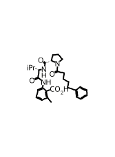 Cc1cccc(NC(=O)[C@@H](NC(=O)[C@@H]2CCCN2C(=O)CCCCc2ccccc2)C(C)C)c1C(=O)O